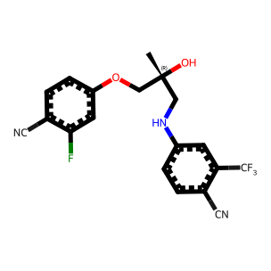 C[C@@](O)(CNc1ccc(C#N)c(C(F)(F)F)c1)COc1ccc(C#N)c(F)c1